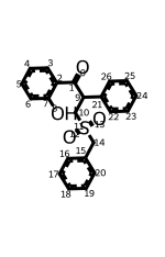 O=C(c1ccccc1O)C(CS(=O)(=O)Cc1ccccc1)c1ccccc1